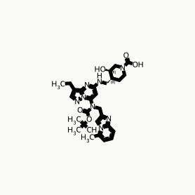 CCc1cnn2c(N(Cc3cn4c(C)cccc4n3)C(=O)OC(C)(C)C)cc(NC[C@H]3CCN(C(=O)O)C[C@@H]3O)nc12